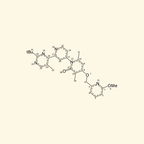 COc1cccc(COc2cc(C)n(-c3ccnc(-c4nc(C(C)(C)C)ncc4C)c3)c(=O)c2C)n1